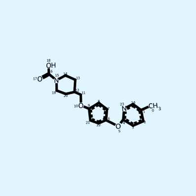 Cc1ccc(Oc2ccc(OCC3CCN(C(=O)O)CC3)cc2)nc1